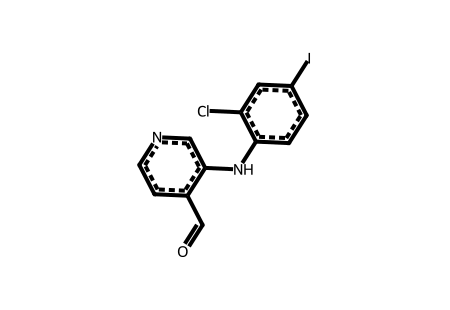 O=Cc1ccncc1Nc1ccc(I)cc1Cl